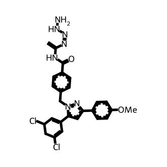 C=C(/N=N\NN)NC(=O)c1ccc(Cn2nc(-c3ccc(OC)cc3)cc2C2=CC(Cl)CC(Cl)=C2)cc1